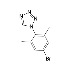 Cc1cc(Br)cc(C)c1-n1cnnn1